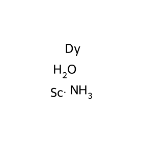 N.O.[Dy].[Sc]